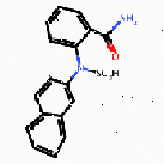 NC(=O)c1ccccc1N(c1ccc2ccccc2c1)S(=O)(=O)O